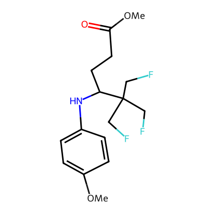 COC(=O)CCC(Nc1ccc(OC)cc1)C(CF)(CF)CF